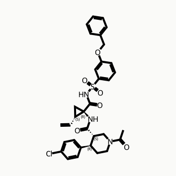 C=C[C@@H]1C[C@]1(NC(=O)[C@@H]1CN(C(C)=O)CC[C@H]1c1ccc(Cl)cc1)C(=O)NS(=O)(=O)c1cccc(OCc2ccccc2)c1